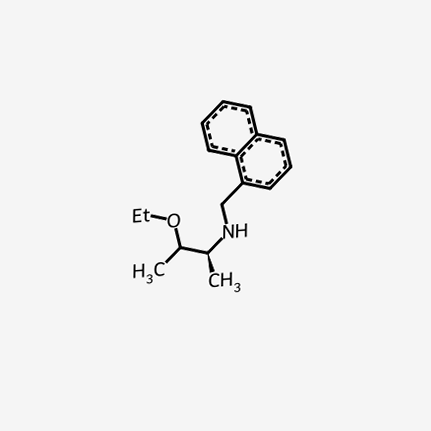 CCOC(C)[C@H](C)NCc1cccc2ccccc12